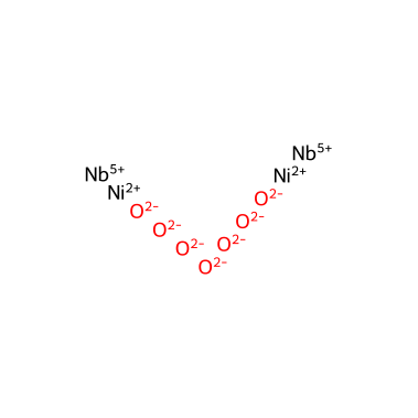 [Nb+5].[Nb+5].[Ni+2].[Ni+2].[O-2].[O-2].[O-2].[O-2].[O-2].[O-2].[O-2]